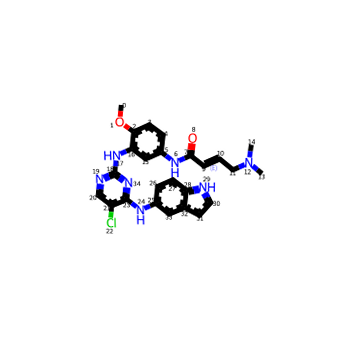 COc1ccc(NC(=O)/C=C/CN(C)C)cc1Nc1ncc(Cl)c(Nc2ccc3[nH]ccc3c2)n1